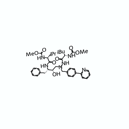 CC[C@H](C)[C@H](NC(=O)OC)C(=O)NN(Cc1ccc(-c2ccccn2)cc1)C[C@H](O)[C@H](Cc1ccccc1)NC(=O)[C@@H](NC(=O)OC)C(C)C